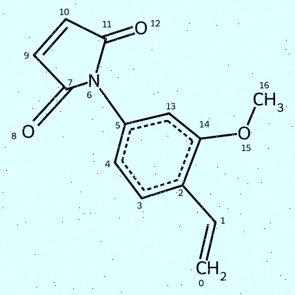 C=Cc1ccc(N2C(=O)C=CC2=O)cc1OC